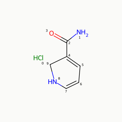 Cl.NC(=O)C1=CC=CNC1